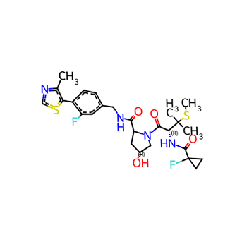 CSC(C)(C)[C@H](NC(=O)C1(F)CC1)C(=O)N1C[C@H](O)CC1C(=O)NCc1ccc(-c2scnc2C)c(F)c1